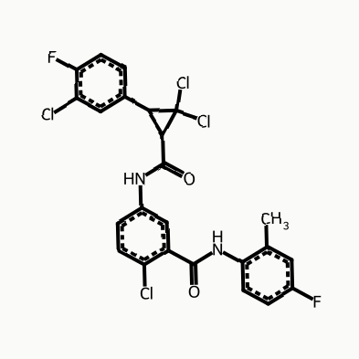 Cc1cc(F)ccc1NC(=O)c1cc(NC(=O)C2C(c3ccc(F)c(Cl)c3)C2(Cl)Cl)ccc1Cl